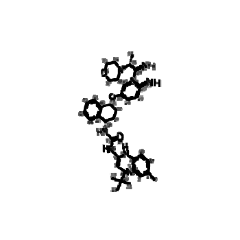 Cc1ccc(N/C(=C\C(=N)C(C)(C)C)NC(=O)N[C@H]2CC[C@@H](Oc3ccc(=N)n(C(=N)[C@H](C)N4CCOCC4)c3)c3ccccc32)cc1